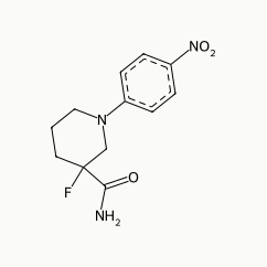 NC(=O)C1(F)CCCN(c2ccc([N+](=O)[O-])cc2)C1